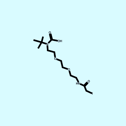 CC(C)(C)N(CCOCCOCCNC(=O)CI)C(=O)O